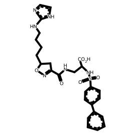 O=C(NCC(NS(=O)(=O)c1ccc(-c2ccccc2)cc1)C(=O)O)C1=NOC(CCCCNc2ncc[nH]2)C1